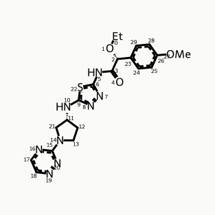 CCO[C@@H](C(=O)Nc1nnc(N[C@@H]2CCN(c3nccnn3)C2)s1)c1ccc(OC)cc1